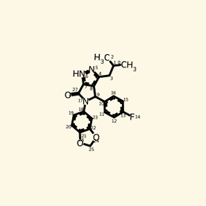 CC(C)Cc1n[nH]c2c1C(c1ccc(F)cc1)N(c1ccc3c(c1)OCO3)C2=O